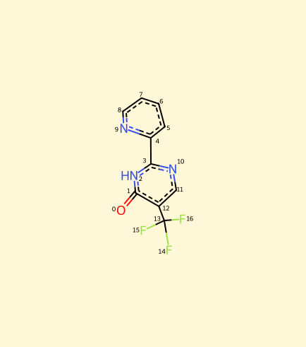 O=c1[nH]c(-c2ccccn2)ncc1C(F)(F)F